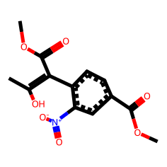 COC(=O)C(=C(C)O)c1ccc(C(=O)OC)cc1[N+](=O)[O-]